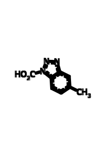 Cc1ccc2c(c1)nnn2C(=O)O